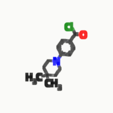 CC1(C)CCN(c2ccc(C(=O)Cl)cc2)CC1